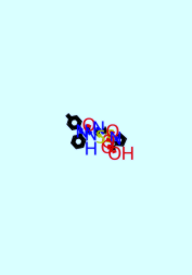 CC1CCC(N(C(=O)Nc2ncc(S(=O)(=O)N3CCC[C@H]3C(=O)O)s2)C2CCCCC2)CC1